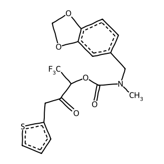 CN(Cc1ccc2c(c1)OCO2)C(=O)OC(C(=O)Cc1cccs1)C(F)(F)F